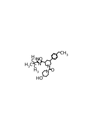 CCc1ccc(C2CC(c3nc(C(C)(C)C)no3)CN(C(=O)N3CCC(O)CC3)C2)cc1